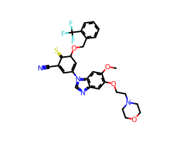 COc1cc2c(cc1OCCN1CCOCC1)ncn2C1=CC(OCc2ccccc2C(F)(F)F)C(=S)C(C#N)=C1